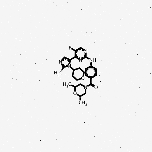 Cc1ncc(-c2nc(Nc3ccc(C(=O)N4CC(C)OC(C)C4)cc3)ncc2F)n1C1CCOCC1